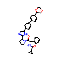 O=C(N[C@H](C(=O)N1CCC[C@H]1c1ncc(-c2ccc(-c3ccc(C4COCCO4)cc3)cc2)[nH]1)c1ccccc1)C1CC1